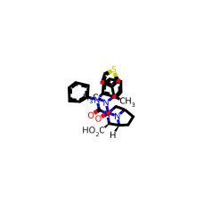 CC(c1ccsc1)N(C)C(=O)N1C2CC[C@@H]1[C@@H](C(=O)O)N(C(=O)N(c1ccccc1)c1ccccc1)C2